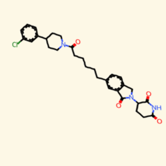 O=C1CCC(N2Cc3ccc(CCCCCC(=O)N4CCC(c5cccc(Cl)c5)CC4)cc3C2=O)C(=O)N1